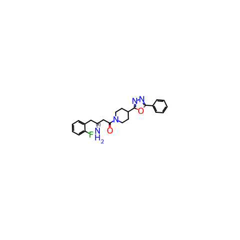 N[C@@H](CC(=O)N1CCC(c2nnc(-c3ccccc3)o2)CC1)Cc1ccccc1F